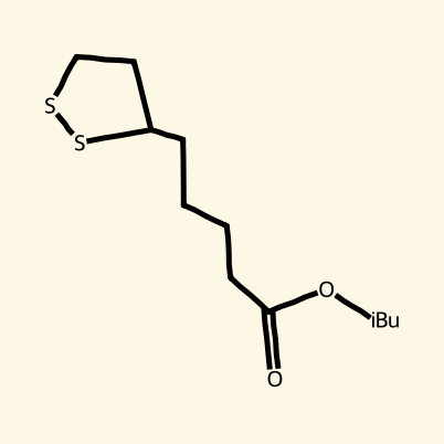 CCC(C)OC(=O)CCCCC1CCSS1